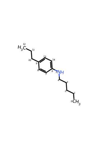 CCCCCNc1ccc(CCC)cc1